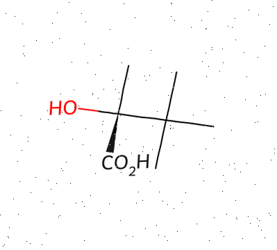 CC(C)(C)[C@@](C)(O)C(=O)O